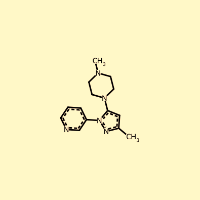 Cc1cc(N2CCN(C)CC2)n(-c2cccnc2)n1